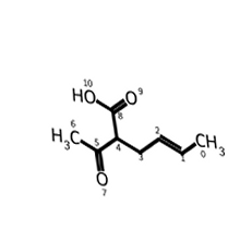 CC=CCC(C(C)=O)C(=O)O